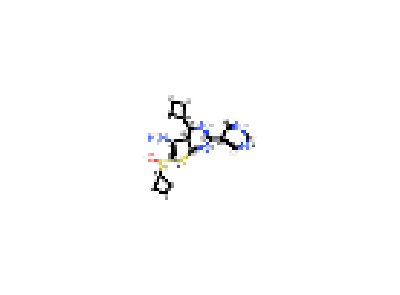 Nc1c([S+]([O-])C2CCC2)sc2nc(-c3cncnc3)nc(C3CCC3)c12